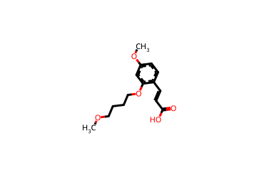 COCCCCOc1cc(OC)ccc1/C=C/C(=O)O